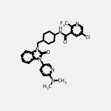 CN(C)c1ccc(-n2c(=O)n(CC3CCC(NC(=O)c4cc(Cl)cnc4C(F)(F)F)CC3)c3ccccc32)cn1